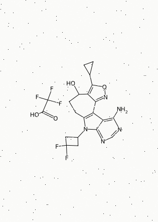 Nc1ncnc2c1c1c(n2C2CC(F)(F)C2)CCC(O)c2c-1noc2C1CC1.O=C(O)C(F)(F)F